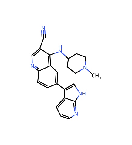 CN1CCC(Nc2c(C#N)cnc3ccc(-c4c[nH]c5ncccc45)cc23)CC1